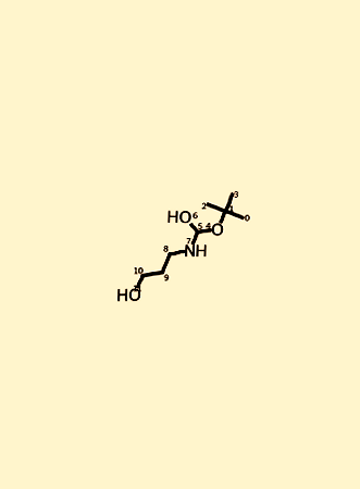 CC(C)(C)OC(O)NCCCO